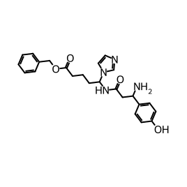 NC(CC(=O)NC(CCCC(=O)OCc1ccccc1)n1ccnc1)c1ccc(O)cc1